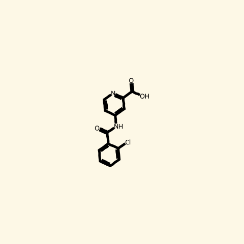 O=C(O)c1cc(NC(=O)c2ccccc2Cl)ccn1